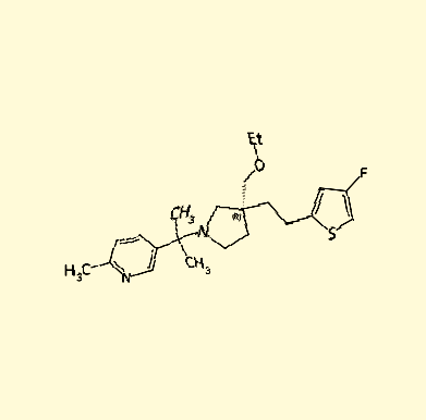 CCOC[C@]1(CCc2cc(F)cs2)CCN(C(C)(C)c2ccc(C)nc2)C1